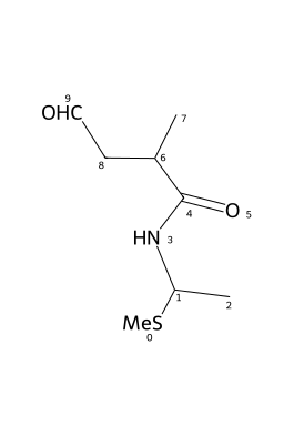 CSC(C)NC(=O)C(C)CC=O